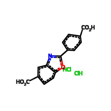 Cl.Cl.O=C(O)c1ccc(-c2nc3cc(C(=O)O)ccc3o2)cc1